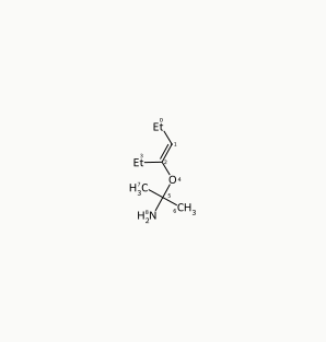 CC/C=C(\CC)OC(C)(C)N